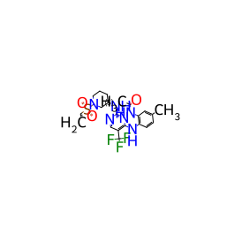 C=CS(=O)(=O)N1CCC[C@H](Nc2ncc(C(F)(F)F)c(Nc3ccc(C)cc3NC(C)=O)n2)C1